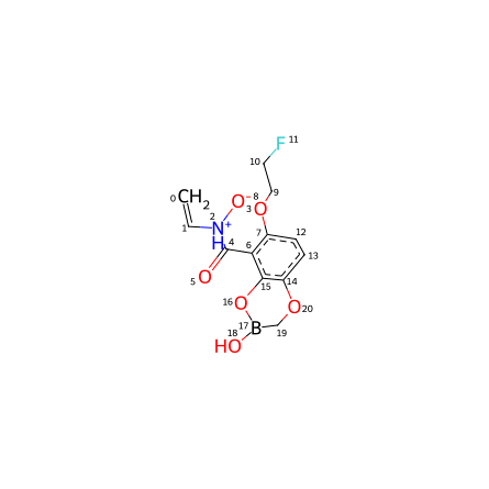 C=C[NH+]([O-])C(=O)c1c(OCCF)ccc2c1OB(O)CO2